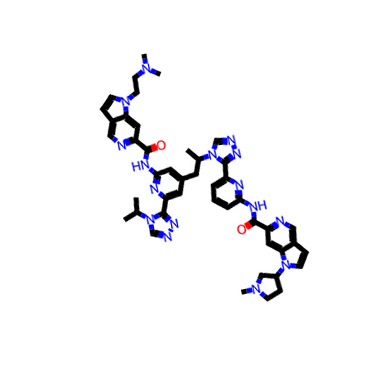 CC(C)n1cnnc1-c1cc(CC(C)n2cnnc2-c2cccc(NC(=O)c3cc4c(ccn4C4CCN(C)C4)cn3)n2)cc(NC(=O)c2cc3c(ccn3CCN(C)C)cn2)n1